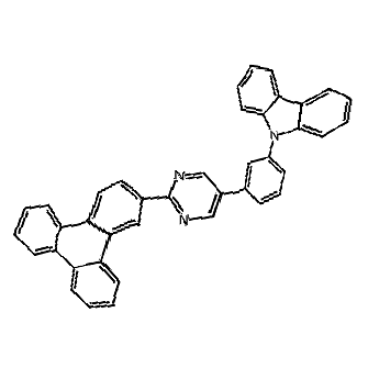 c1cc(-c2cnc(-c3ccc4c5ccccc5c5ccccc5c4c3)nc2)cc(-n2c3ccccc3c3ccccc32)c1